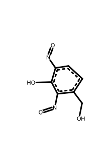 O=Nc1ccc(CO)c(N=O)c1O